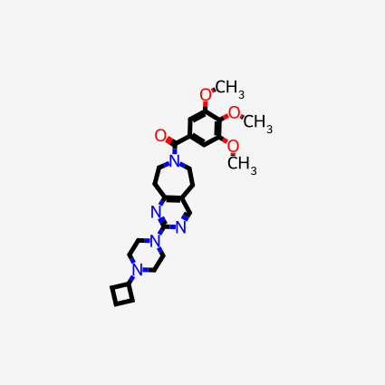 COc1cc(C(=O)N2CCc3cnc(N4CCN(C5CCC5)CC4)nc3CC2)cc(OC)c1OC